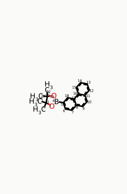 CC1(C)OB(c2ccc3ccc4ccccc4c3c2)OC1(C)C